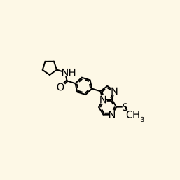 CSc1nccn2c(-c3ccc(C(=O)NC4CCCC4)cc3)cnc12